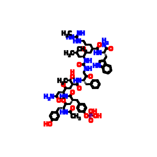 CNC(=N)NCCC[C@H](CC(=O)[C@H](CC(C)C)NC(=O)NCC(=O)[C@H](Cc1ccccc1)NC(=O)[C@@H](CC(=O)[C@H](CC(N)=O)NC(=O)[C@@H](CC(=O)[C@@H](Cc1ccc(O)cc1)NC(C)=O)Cc1ccc(OP(=O)(O)O)cc1)[C@@H](C)O)C(=O)N[C@@H](Cc1c[nH]c2ccccc12)C(N)=O